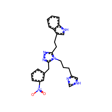 O=[N+]([O-])c1cccc(Cc2nnc(CCc3c[nH]c4ccccc34)n2CCCc2c[nH]cn2)c1